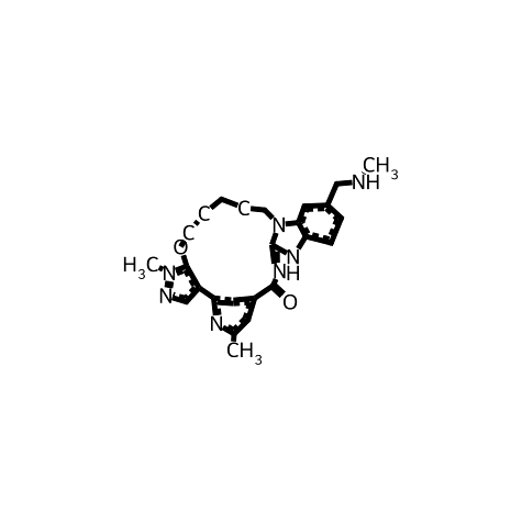 CNCc1ccc2c(c1)N1CCCCCOc3c(cnn3C)-c3cc(cc(C)n3)C(=O)/N=C/1N2